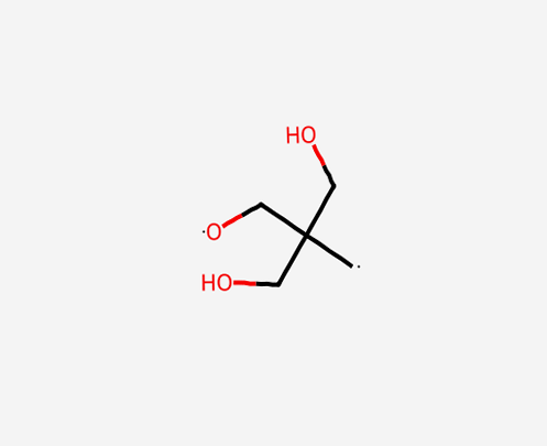 [CH2]C(C[O])(CO)CO